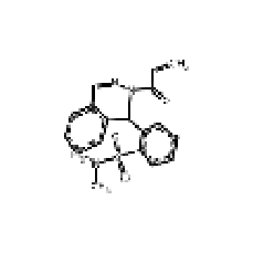 C=CC(=O)N1N=Cc2ccccc2C1c1ccccc1S(=O)(=O)N(C)C